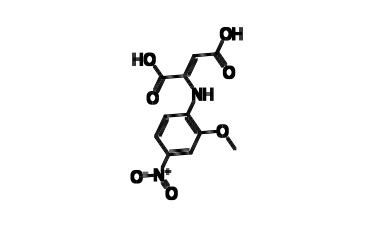 COc1cc([N+](=O)[O-])ccc1N/C(=C\C(=O)O)C(=O)O